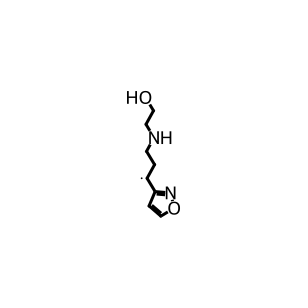 OCCNCC[CH]c1ccon1